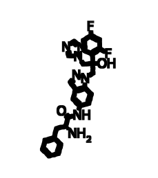 N[C@@H](Cc1ccccc1)C(=O)Nc1ccc2c(cnn2CC(O)(Cn2cncn2)c2ccc(F)cc2F)c1